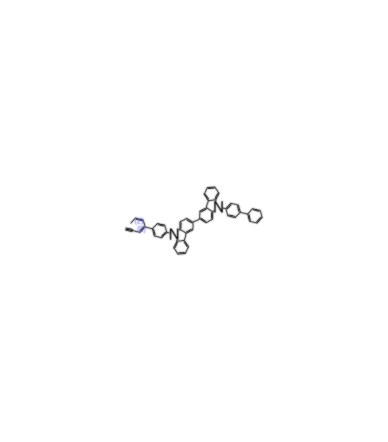 C#C/C=C(\C=C/C)c1ccc(-n2c3ccccc3c3cc(-c4ccc5c(c4)c4ccccc4n5-c4ccc(-c5ccccc5)cc4)ccc32)cc1